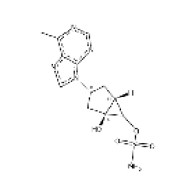 Cc1ncnc2c1ncn2[C@@H]1C[C@@H]2C(OS(N)(=O)=O)[C@]2(O)C1